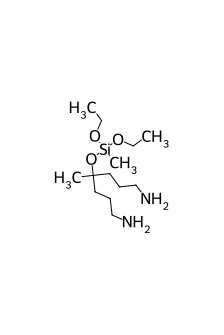 CCO[Si](C)(OCC)OC(C)(CCCN)CCCN